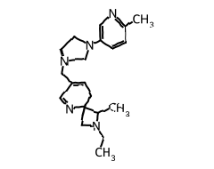 CCN1CC2(CC=C(CN3CCN(c4ccc(C)nc4)C3)C=N2)C1C